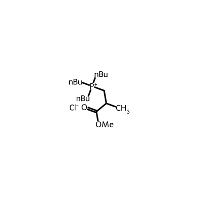 CCCC[P+](CCCC)(CCCC)CC(C)C(=O)OC.[Cl-]